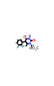 Cc1c(-c2cccc(F)c2F)c(=O)n(C)c(=O)n1CC(=O)O